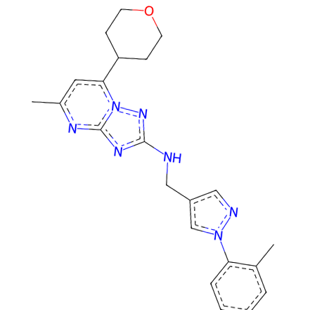 Cc1cc(C2CCOCC2)n2nc(NCc3cnn(-c4ccccc4C)c3)nc2n1